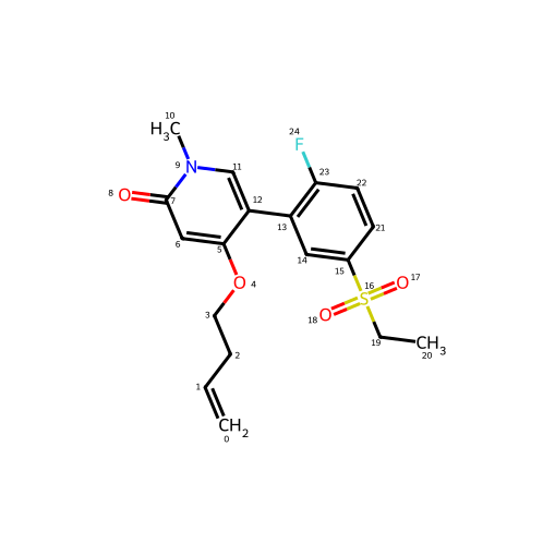 C=CCCOc1cc(=O)n(C)cc1-c1cc(S(=O)(=O)CC)ccc1F